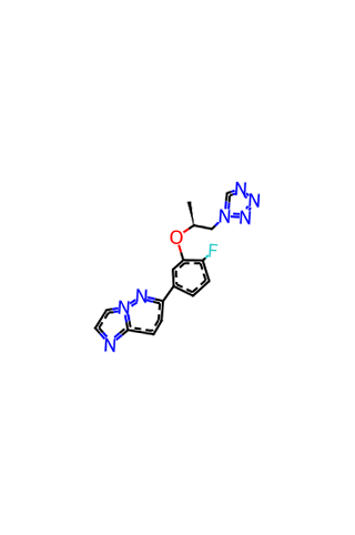 C[C@@H](Cn1cnnn1)Oc1cc(-c2ccc3nccn3n2)ccc1F